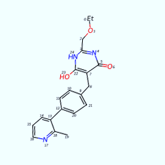 CCOCc1nc(=O)c(Cc2ccc(-c3cccnc3C)cc2)c(O)[nH]1